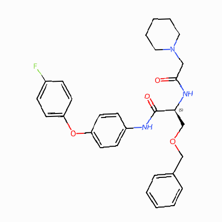 O=C(CN1CCCCC1)N[C@@H](COCc1ccccc1)C(=O)Nc1ccc(Oc2ccc(F)cc2)cc1